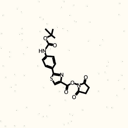 CC(C)(C)OC(=O)Nc1ccc(-c2nc(C(=O)ON3C(=O)CCC3=O)cs2)cc1